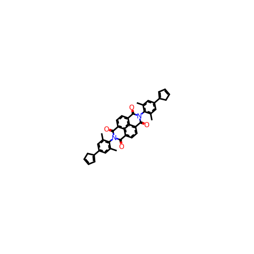 Cc1cc(C2=CC=CC2)cc(C)c1N1C(=O)c2ccc3c4c(ccc(c24)C1=O)C(=O)N(c1c(C)cc(C2=CC=CC2)cc1C)C3=O